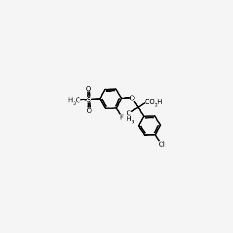 CC(Oc1ccc(S(C)(=O)=O)cc1F)(C(=O)O)c1ccc(Cl)cc1